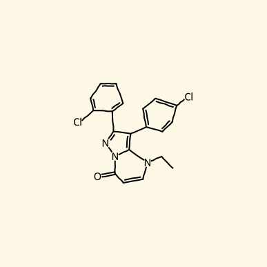 CCn1ccc(=O)n2nc(-c3ccccc3Cl)c(-c3ccc(Cl)cc3)c12